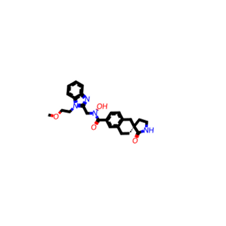 COCCn1c(CN(O)C(=O)c2ccc3c(c2)CC[C@@]2(CCNC2=O)C3)nc2ccccc21